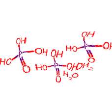 O.O.O=P(O)(O)O.O=P(O)(O)O.O=P(O)(O)O